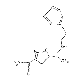 CC(NCCc1ccccc1)c1cc(C(N)=O)no1